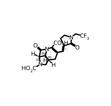 O=C(O)C1=C(/C=C2\CCN(CC(F)(F)F)C2=O)C[C@@H]2CN(C(=O)O)[C@@H]3C(=O)N1[C@H]23